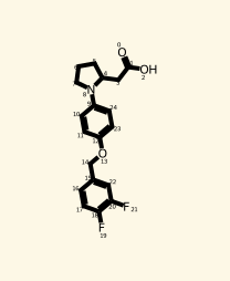 O=C(O)CC1CCCN1c1ccc(OCc2ccc(F)c(F)c2)cc1